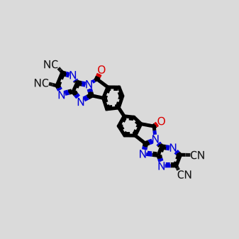 N#Cc1nc2nc3n(c2nc1C#N)C(=O)c1cc(-c2ccc4c(c2)-c2nc5nc(C#N)c(C#N)nc5n2C4=O)ccc1-3